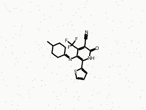 CC1CCC(=Nc2c(-c3cccs3)[nH]c(=O)c(C#N)c2C(F)(F)F)CC1